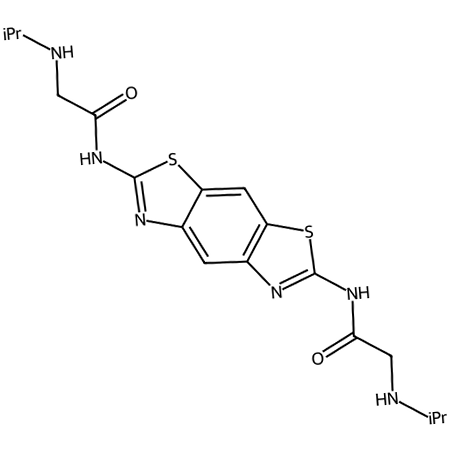 CC(C)NCC(=O)Nc1nc2cc3nc(NC(=O)CNC(C)C)sc3cc2s1